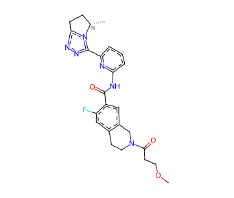 COCCC(=O)N1CCc2cc(F)c(C(=O)Nc3cccc(-c4nnc5n4[C@@H](C)CC5)n3)cc2C1